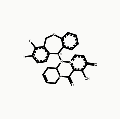 O=C1c2c(O)c(=O)ccn2N([C@@H]2c3ccccc3SCc3c2ccc(F)c3F)C2CC=CCN12